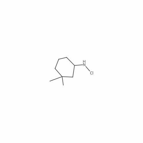 CC1(C)CCCC(NCl)C1